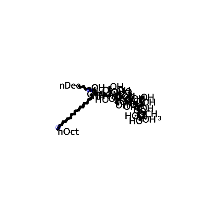 CCCCCCCC/C=C\CCCCCCCCCCCCCCCC(=O)N[C@@H](CO[C@@H]1OC(CO)[C@@H](O[C@@H]2OC(CO)[C@H](O[C@@H]3OC(CO)[C@H](O)[C@H](O[C@H]4OC(CO)[C@H](O)[C@H](O)C4O[C@H]4OC(C)[C@@H](O)C(O)[C@@H]4O)C3O)[C@H](O)C2O)[C@H](O)C1O)[C@H](O)/C=C/CCCCCCCCCCCCC